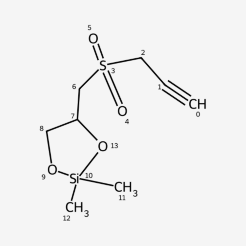 C#CCS(=O)(=O)CC1CO[Si](C)(C)O1